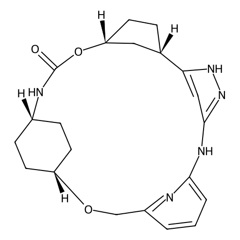 O=C1N[C@H]2CC[C@H](CC2)OCc2cccc(n2)Nc2cc([nH]n2)[C@H]2CC[C@H](C2)O1